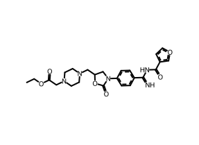 CCOC(=O)CN1CCN(CC2CN(c3ccc(C(=N)NC(=O)c4ccoc4)cc3)C(=O)O2)CC1